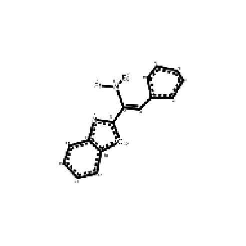 CCN(CC)C(=Cc1ccccc1)c1nc2ccccc2o1